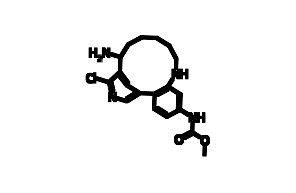 COC(=O)Nc1ccc2c(c1)NCCCCCC(N)c1cc-2cnc1Cl